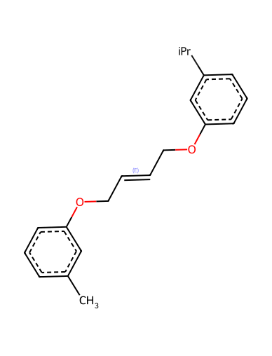 Cc1cccc(OC/C=C/COc2cccc(C(C)C)c2)c1